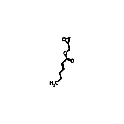 CCCC=CC(=O)OCC1CO1